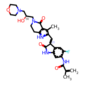 C=C(C)C(=O)Nc1cc2c(cc1F)/C(=C/c1[nH]c3c(c1C)C(=O)N(C[C@@H](O)CN1CCOCC1)CC3)C(=O)N2